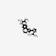 CC(C)n1ncnc1-c1cn2c(n1)-c1ccc(N[C@@H](C)C(N)=O)cc1OCC2